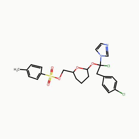 Cc1ccc(S(=O)(=O)OCC2CCCC(OC(Cl)(Cc3ccc(Cl)cc3)n3ccnc3)O2)cc1